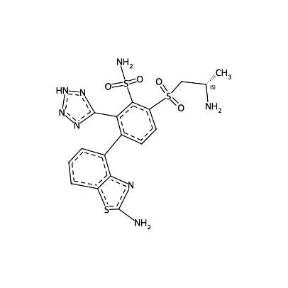 C[C@H](N)CS(=O)(=O)c1ccc(-c2cccc3sc(N)nc23)c(-c2nn[nH]n2)c1S(N)(=O)=O